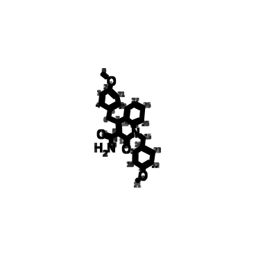 COc1ccc(Cc2c(C(N)=O)c(=O)n(Cc3ccc(OC)cc3)c3ccccc23)cc1